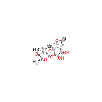 [3H]C1(C)CC(OC2C(O)C(O)C3CC(CC)OCC3C2OC(C)(C)C)OC(C)C1O